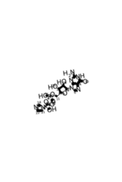 Nc1nc2c(ncn2[C@@H]2O[C@H](COP(=O)(O)OP(=O)(O)n3ccnc3)C(O)C2O)c(=O)[nH]1